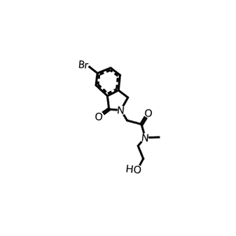 CN(CCO)C(=O)CN1Cc2ccc(Br)cc2C1=O